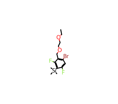 CCOCCOCc1c(Br)cc(F)c([Si](C)(C)C)c1F